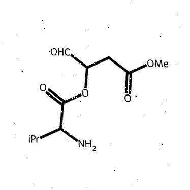 COC(=O)CC([C]=O)OC(=O)C(N)C(C)C